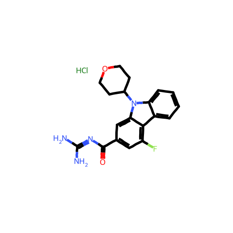 Cl.NC(N)=NC(=O)c1cc(F)c2c3ccccc3n(C3CCOCC3)c2c1